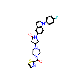 O=C(c1nccs1)N1CCN(C2CC(=O)N(c3ccc4c(ccn4-c4ccc(F)cc4)c3)C2)CC1